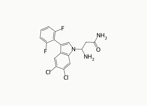 NC(=O)CC(N)n1cc(-c2c(F)cccc2F)c2cc(Cl)c(Cl)cc21